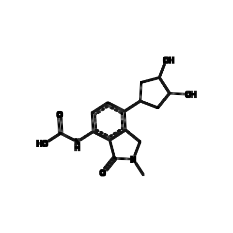 CN1Cc2c(C3CC(O)C(O)C3)ccc(NC(=O)O)c2C1=O